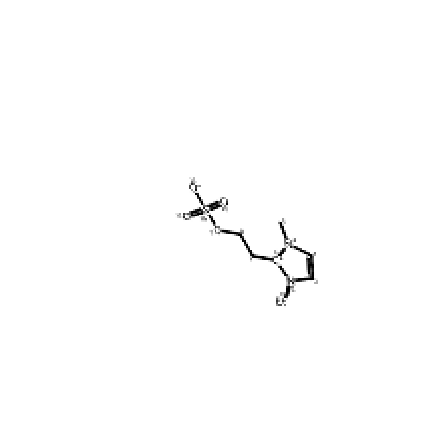 CCn1ccn(C)[c+]1CCOS(=O)(=O)[O-]